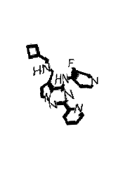 Fc1cnccc1Nc1nc(-c2ccccn2)nn2ccc(CNCC3CCC3)c12